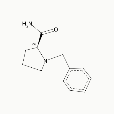 NC(=O)[C@@H]1CCCN1Cc1ccccc1